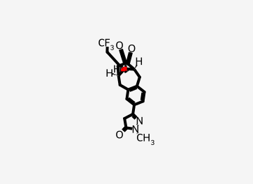 CN1N=C(c2ccc3c(c2)C[C@H]2CC[C@@H](C3)[C@]23CN(CC(F)(F)F)S(=O)(=O)N3)CC1=O